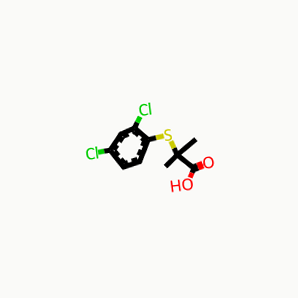 CC(C)(Sc1ccc(Cl)cc1Cl)C(=O)O